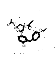 CCOc1ccc(Cc2cc([C@H]3C[C@@H](OC(C)=O)C[C@@H](COC(C)=O)O3)ccc2Br)cc1